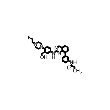 C=CC(=O)Nc1cccc(-c2cccc3cnc(Nc4ccc(N5CCN(CCF)CC5)c(CO)c4)nc23)c1